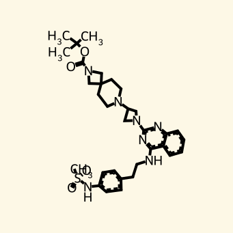 CC(C)(C)OC(=O)N1CC2(CCN(C3CN(c4nc(NCCc5ccc(NS(C)(=O)=O)cc5)c5ccccc5n4)C3)CC2)C1